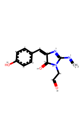 C=NC1=NC(=Cc2ccc(O)cc2)C(=O)N1CC=O